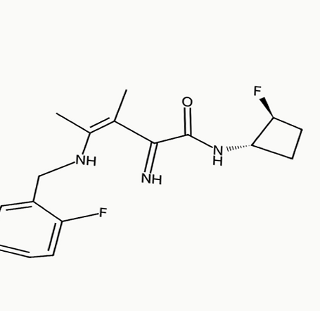 C/C(NCc1ccccc1F)=C(\C)C(=N)C(=O)N[C@H]1CC[C@@H]1F